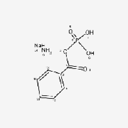 N.O=C(OP(=O)(O)O)c1ccccc1.[NaH]